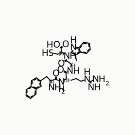 N=C(N)NCCC[C@H](NC(=O)[C@@H](N)Cc1ccc2ccccc2c1)C(=O)N[C@@H](Cc1c[nH]c2ccccc12)C(=O)N[C@@H](CS)C(=O)O